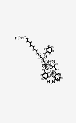 CCCCCCCCCCCCCCCCCCOCC(COP(=O)(COC(CO)Cn1cnc2c(N)ncnc21)OCc1ccccc1)OCc1ccccc1